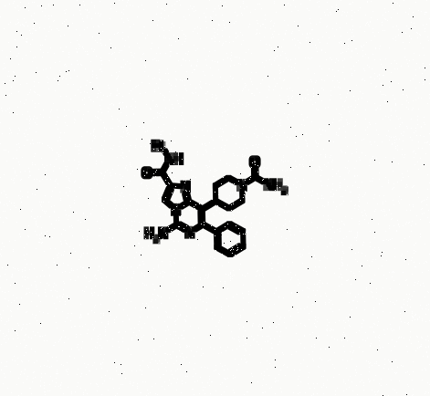 CCNC(=O)c1cn2c(N)nc(-c3ccccc3)c(C3CCN(C(N)=O)CC3)c2n1